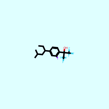 CCC(CC(C)C)c1ccc(C(O)(C(F)(F)F)C(F)(F)F)c(I)c1